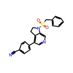 N#Cc1ccc(-c2cncc3c2CCN3S(=O)(=O)Cc2ccccc2)cc1